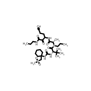 C#CCCC(NC(=O)[C@H](C)N(CCC)C(=O)[C@@H](NC(=O)NC1(CS(C)(=O)=O)CCCCC1)C(C)(C)C)C(=O)C(=O)NCCC